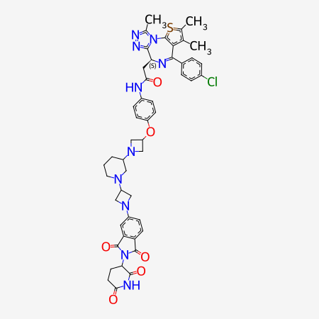 Cc1sc2c(c1C)C(c1ccc(Cl)cc1)=N[C@@H](CC(=O)Nc1ccc(OC3CN(C4CCCN(C5CN(c6ccc7c(c6)C(=O)N(C6CCC(=O)NC6=O)C7=O)C5)C4)C3)cc1)c1nnc(C)n1-2